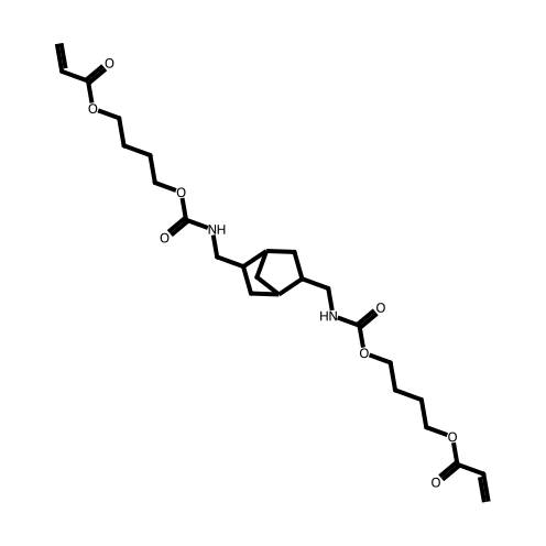 C=CC(=O)OCCCCOC(=O)NCC1CC2CC1CC2CNC(=O)OCCCCOC(=O)C=C